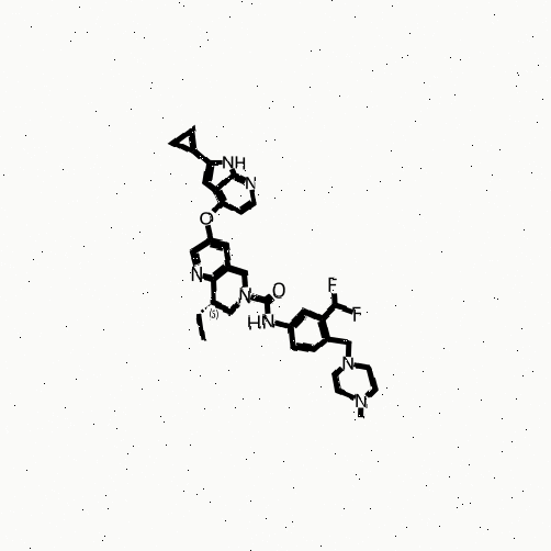 CC[C@H]1CN(C(=O)Nc2ccc(CN3CCN(C)CC3)c(C(F)F)c2)Cc2cc(Oc3ccnc4[nH]c(C5CC5)cc34)cnc21